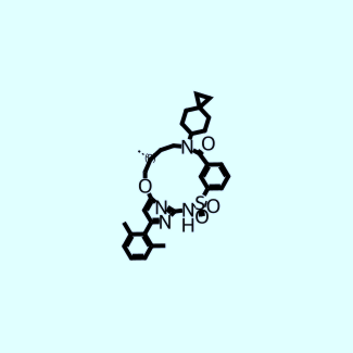 Cc1cccc(C)c1-c1cc2nc(n1)NS(=O)(=O)c1cccc(c1)C(=O)N(C1CCC3(CC1)CC3)CC[C@@H](C)CO2